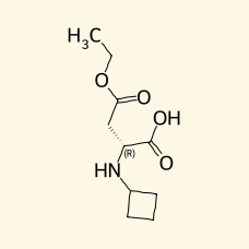 CCOC(=O)C[C@@H](NC1CCC1)C(=O)O